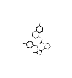 Cc1ccc2c(c1)CCCC2NC(=O)N1CCCC1c1nnc(C)n1Cc1ccc(Cl)cc1